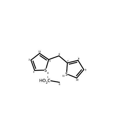 CC(=O)O.c1csc(Cc2cccs2)c1